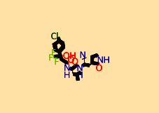 CC(C)C[C@H](NC(=O)C[C@](O)(c1ccc(Cl)cc1)C(F)(F)F)C(=O)N[C@H](C#N)C[C@@H]1CCNC1=O